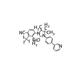 C=C1N(c2ccc(C#N)c(C(I)(I)I)c2C)[C@@H](O)N(c2ccc(-c3cccnc3)cc2)C1(C)C